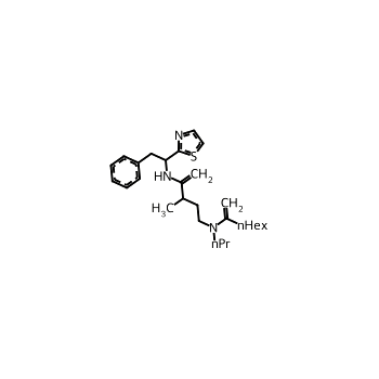 C=C(NC(Cc1ccccc1)c1nccs1)C(C)CCN(CCC)C(=C)CCCCCC